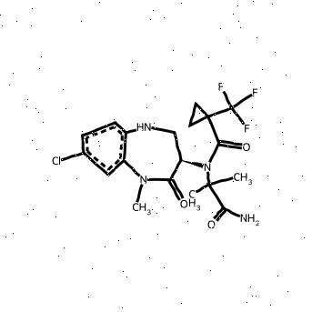 CN1C(=O)[C@H](N(C(=O)C2(C(F)(F)F)CC2)C(C)(C)C(N)=O)CNc2ccc(Cl)cc21